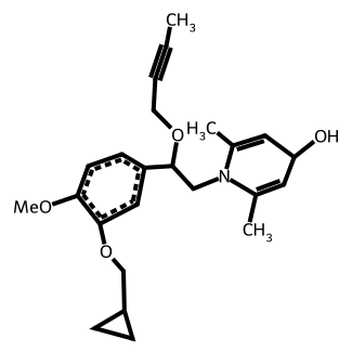 CC#CCOC(CN1C(C)=CC(O)C=C1C)c1ccc(OC)c(OCC2CC2)c1